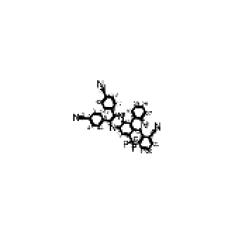 N#Cc1ccc(-c2nc3cc(C(F)(F)F)c4c(-c5ccccc5C#N)nc5ccccc5c4c3nc2-c2ccc(C#N)cc2)cc1